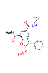 CNC(=O)c1cc(C(=O)NC2CC2)cc2c1O[C@H](CO)[C@H]2c1ccccc1